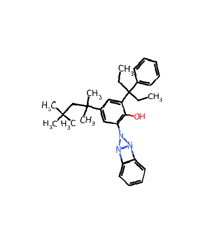 CCC(CC)(c1ccccc1)c1cc(C(C)(C)CC(C)(C)C)cc(-n2n3c4ccccc4n23)c1O